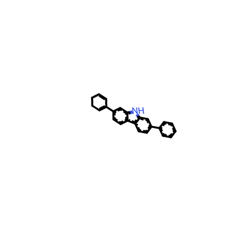 C1=CC(c2ccc3c(c2)[nH]c2cc(-c4ccccc4)ccc23)=CCC1